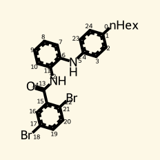 CCCCCCc1ccc(Nc2ccccc2NC(=O)c2cc(Br)ccc2Br)cc1